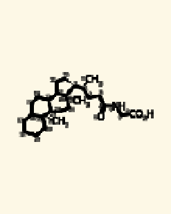 C[C@H](CCC(=O)NCC(=O)O)[C@H]1CCC2C3CCC4CCCC[C@]4(C)C3CC[C@@]21C